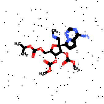 CN=C[C@@]1(c2ccc3c(N)ncnn23)O[C@H](COC(=O)OC(C)C)[C@@H](OC(=O)OC)[C@H]1OC(=O)OC